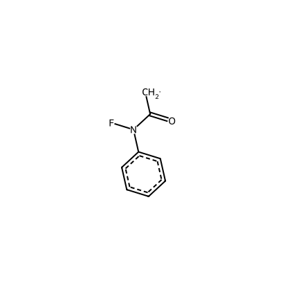 [CH2]C(=O)N(F)c1ccccc1